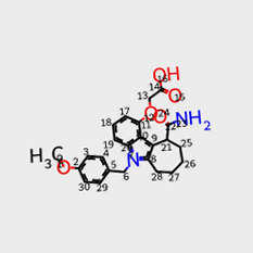 COc1ccc(Cn2c3c(c4c(OCC(=O)O)cccc42)C(C(N)=O)CCCC3)cc1